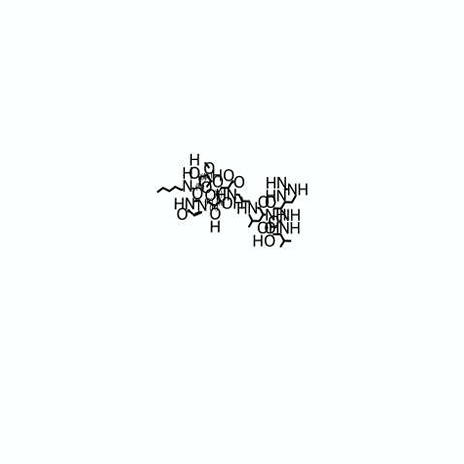 CCCCCNC[C@H]1OC(OC(C(NCCCNC(=O)C(NC(=O)C(NC(=O)NC(C(=O)O)C(C)C)C2CCNC(=N)N2)C(O)C(C)C)C(=O)O)[C@@H]2O[C@@H](n3ccc(=O)[nH]c3=O)[C@H](O)[C@H]2O)[C@@H](OC)[C@H]1O